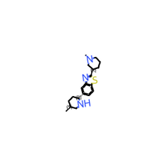 C[C@H]1CC[C@H](c2ccc3sc([C@@H]4CCCN(C)C4)nc3c2)NC1